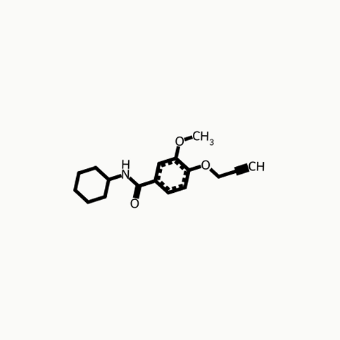 C#CCOc1ccc(C(=O)NC2CCCCC2)cc1OC